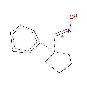 O/N=C/C1(c2ccccc2)CCCC1